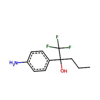 CCCC(O)(c1ccc(N)cc1)C(F)(F)F